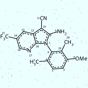 COc1ccc(C)c(-n2c(N)c(C#N)c3cc(C(F)(F)F)cnc32)c1C